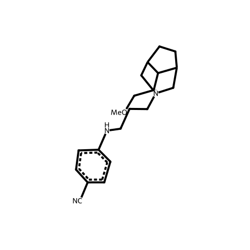 COC[CH]C1C2CCC1CN(CCCNc1ccc(C#N)cc1)C2